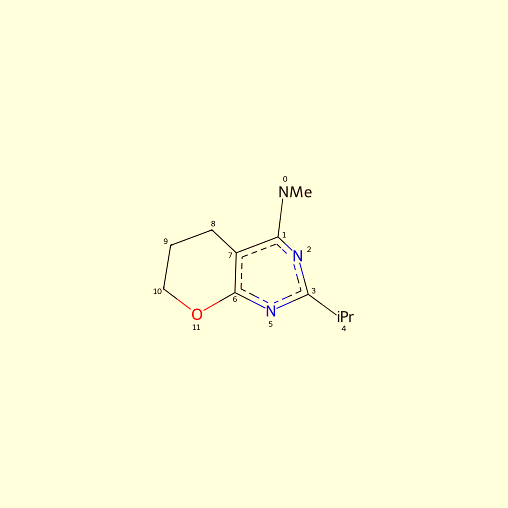 CNc1nc(C(C)C)nc2c1CCCO2